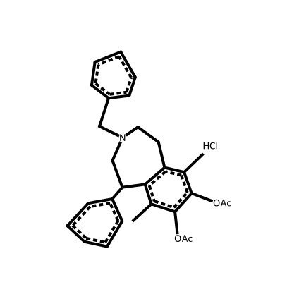 CC(=O)Oc1c(C)c2c(c(C)c1OC(C)=O)C(c1ccccc1)CN(Cc1ccccc1)CC2.Cl